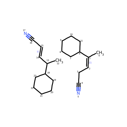 C/C(=C/CC#N)C1CCCCC1.CC(/C=C/C#N)C1CCCCC1